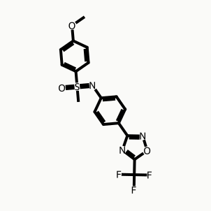 COc1ccc(S(C)(=O)=Nc2ccc(-c3noc(C(F)(F)F)n3)cc2)cc1